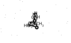 C[C@H](c1ccccc1C#CCCO)N(C)c1cc(F)c([S+]([O-])Nc2ncns2)cc1OC=O